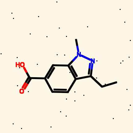 CCc1nn(C)c2cc(C(=O)O)ccc12